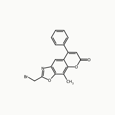 Cc1c2oc(CBr)nc2cc2c(-c3ccccc3)cc(=O)oc12